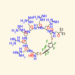 CCC(CC)C(=O)CNC(=O)C1CSc2c(F)c(F)c(c(F)c2F)-c2c(F)c(F)c(c(F)c2F)SCC(NO)C(=O)NC(CCCNC(=N)N)C(=O)NC(CCCNC(=N)N)C(=O)NC(CCCNC(=N)N)C(=O)NC(CCCNC(=N)N)C(=O)NC(CCCNC(=N)N)C(=O)NC(CCCNC(=N)N)C(=O)N1